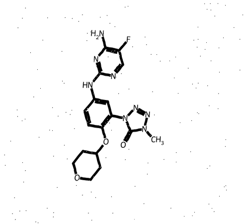 Cn1nnn(-c2cc(Nc3ncc(F)c(N)n3)ccc2OC2CCOCC2)c1=O